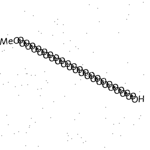 COOOOOOOOOOOOOOOOOOOOOOOOOOOOOOOOOOOOOOOOO